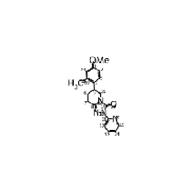 COc1ccc(C2CCc3nn(-c4ccccn4)c(=O)n3C2)c(C)c1